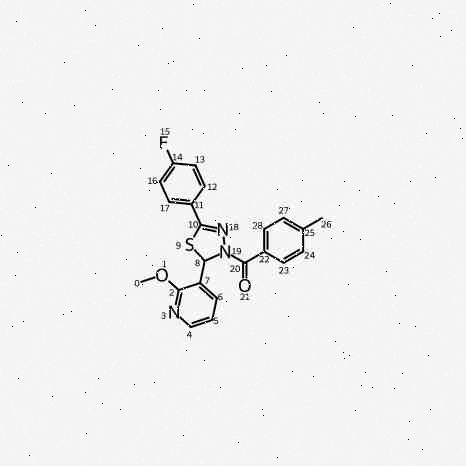 COc1ncccc1C1SC(c2ccc(F)cc2)=NN1C(=O)c1ccc(C)cc1